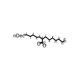 CCCCCCCCCCCCCCCC(CCCCCCF)C([O])=O